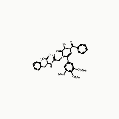 COc1cc(C2=CN(C(=O)c3ccccc3)C(C(C)C)C(=O)N2CC(=O)NC(Cc2ccccc2)C(=O)C(F)(F)F)cc(OC)c1OC